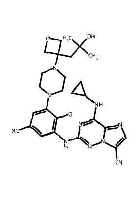 CC(C)(O)CC1(N2CCN(c3cc(C#N)cc(Nc4nc(NC5CC5)c5ncc(C#N)n5n4)c3Cl)CC2)COC1